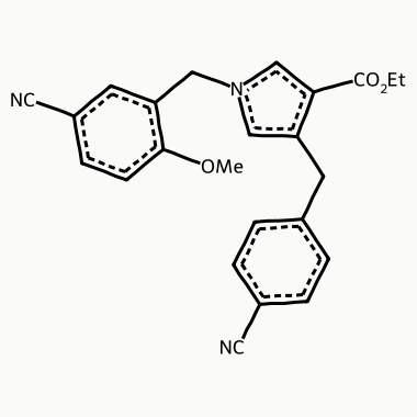 CCOC(=O)c1cn(Cc2cc(C#N)ccc2OC)cc1Cc1ccc(C#N)cc1